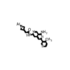 CC(=O)N1CC(=CC(=O)Nc2cc3cc(-c4cnccc4C)nc(N)c3cn2)C1